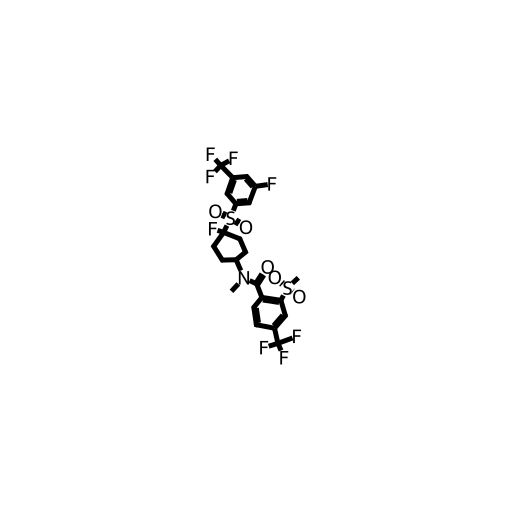 CN(C(=O)c1ccc(C(F)(F)F)cc1S(C)(=O)=O)C1CCC(F)(S(=O)(=O)c2cc(F)cc(C(F)(F)F)c2)CC1